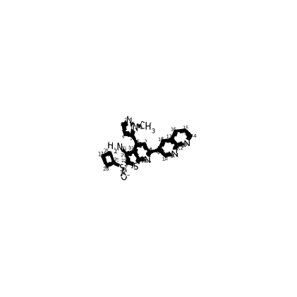 Cn1nccc1-c1cc(-c2cnc3ncccc3c2)nc2sc([S@@+]([O-])C3CCC3)c(N)c12